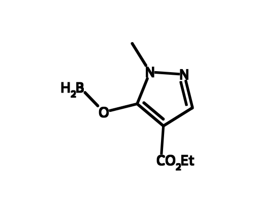 BOc1c(C(=O)OCC)cnn1C